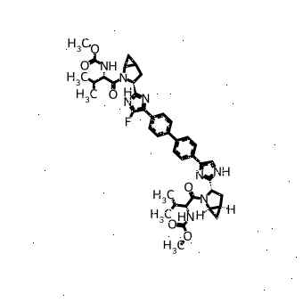 COC(=O)N[C@H](C(=O)N1C2CC2C[C@H]1c1nc(-c2ccc(-c3ccc(-c4c[nH]c([C@@H]5C[C@H]6C[C@H]6N5C(=O)[C@@H](NC(=O)OC)C(C)C)n4)cc3)cc2)c(F)[nH]1)C(C)C